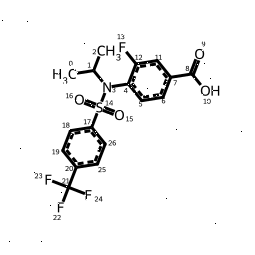 CC(C)N(c1ccc(C(=O)O)cc1F)S(=O)(=O)c1ccc(C(F)(F)F)cc1